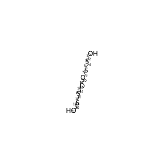 OCCSCCSCCOCCOCCSCCSCCO